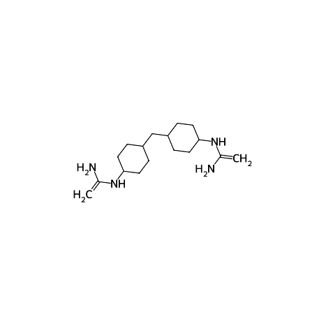 C=C(N)NC1CCC(CC2CCC(NC(=C)N)CC2)CC1